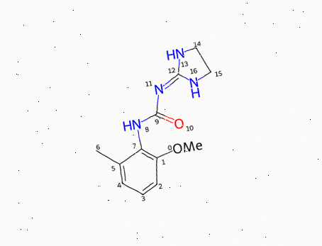 COc1cccc(C)c1NC(=O)N=C1NCCN1